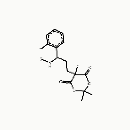 CC1(C)OC(=O)C(F)(CCC(NS)c2ccccc2F)C(=O)O1